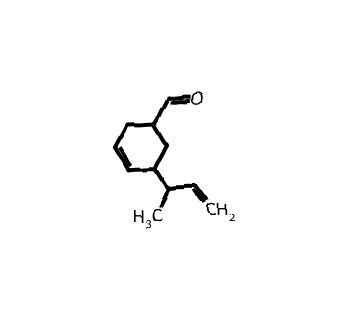 C=CC(C)C1C=CCC(C=O)C1